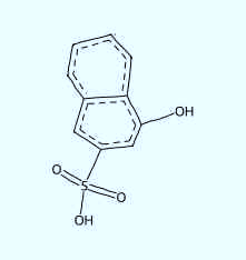 O=S(=O)(O)c1cc(O)c2c[c]ccc2c1